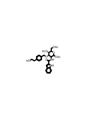 CC(=O)OCC1OC(OC(C)=O)C(NC(=O)c2cc3ccccc3[nH]2)[C@@H](OCc2ccc(CCO)cc2)[C@H]1OC(C)=O